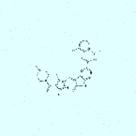 Cc1[nH]c(C=C2C(=O)Nc3ccc(C(=O)N[C@@H](C)c4cccc(Br)c4)cc32)c(C)c1C(=O)N1CCN(C)CC1